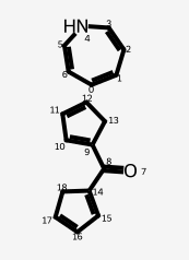 C1=CC=CNC=C1.O=C(C1=CC=CC1)C1=CC=CC1